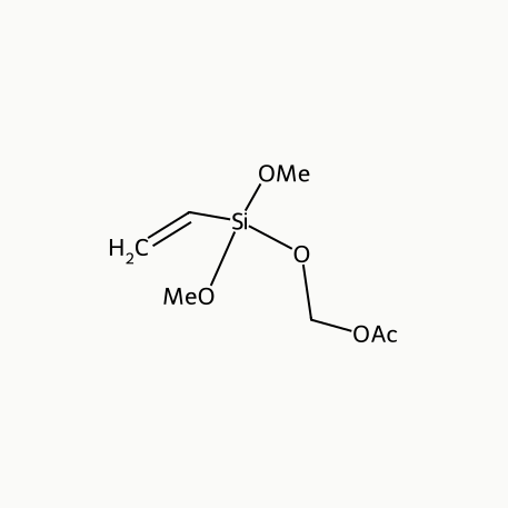 C=C[Si](OC)(OC)OCOC(C)=O